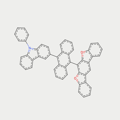 c1ccc(-n2c3ccccc3c3cc(-c4c5ccccc5c(-c5c6oc7ccccc7c6cc6c5oc5ccccc56)c5ccccc45)ccc32)cc1